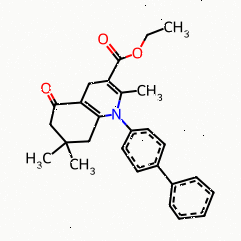 CCOC(=O)C1=C(C)N(c2ccc(-c3ccccc3)cc2)C2=C(C1)C(=O)CC(C)(C)C2